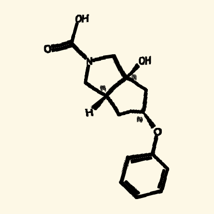 O=C(O)N1C[C@H]2C[C@H](Oc3ccccc3)C[C@@]2(O)C1